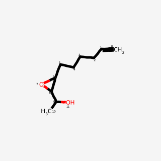 C=CCCCCC1OC1C(C)O